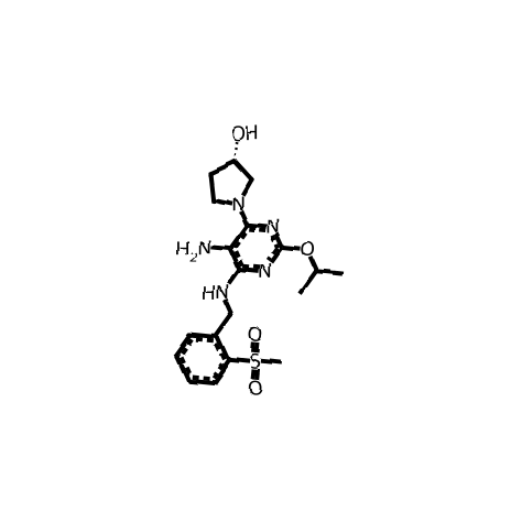 CC(C)Oc1nc(NCc2ccccc2S(C)(=O)=O)c(N)c(N2CC[C@H](O)C2)n1